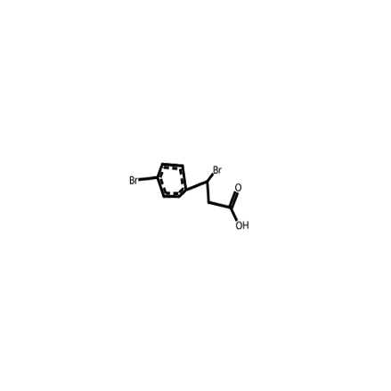 O=C(O)CC(Br)c1ccc(Br)cc1